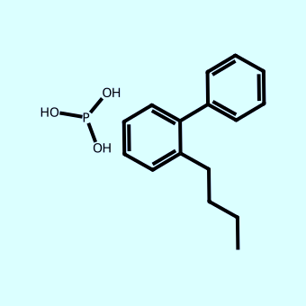 CCCCc1ccccc1-c1ccccc1.OP(O)O